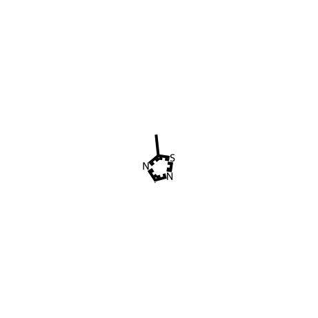 Cc1n[c]ns1